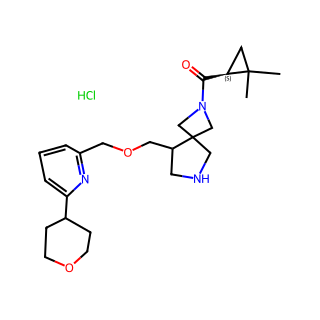 CC1(C)C[C@@H]1C(=O)N1CC2(CNCC2COCc2cccc(C3CCOCC3)n2)C1.Cl